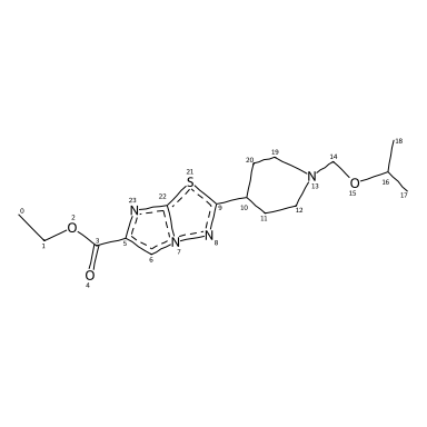 CCOC(=O)c1cn2nc(C3CCN(COC(C)C)CC3)sc2n1